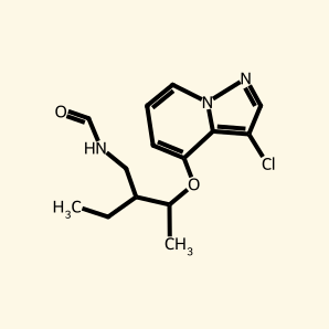 CCC(CNC=O)C(C)Oc1cccn2ncc(Cl)c12